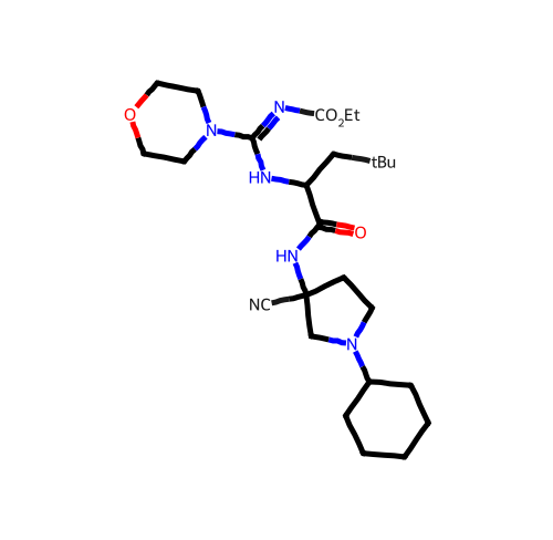 CCOC(=O)/N=C(\NC(CC(C)(C)C)C(=O)NC1(C#N)CCN(C2CCCCC2)C1)N1CCOCC1